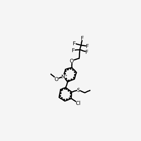 CCSc1c(Cl)cccc1-c1ccc(OCC(F)(F)C(F)(F)F)c[n+]1OC